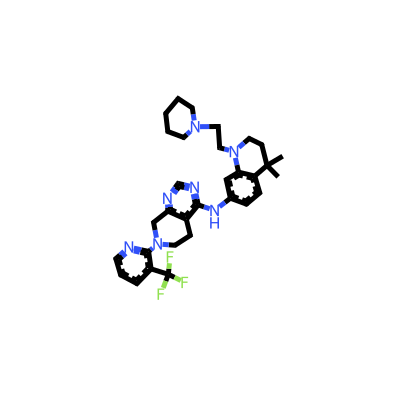 CC1(C)CCN(CCN2CCCCC2)c2cc(Nc3ncnc4c3CCN(c3ncccc3C(F)(F)F)C4)ccc21